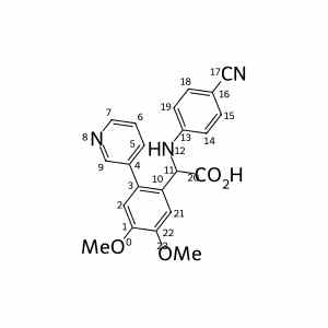 COc1cc(-c2cccnc2)c(C(Nc2ccc(C#N)cc2)C(=O)O)cc1OC